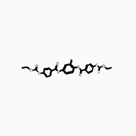 CCOC(=O)Oc1ccc(C(=O)Oc2ccc(OC(=O)c3ccc(OC(=O)OCC)cc3)c(C)c2)cc1